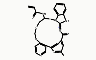 C=CC(=O)NC1CCCOc2ccncc2-c2cc(cc(C)n2)C(=O)/N=C2\Nc3ccccc3N2C1